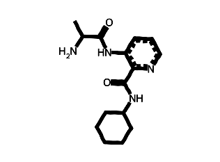 CC(N)C(=O)Nc1cccnc1C(=O)NC1CCCCC1